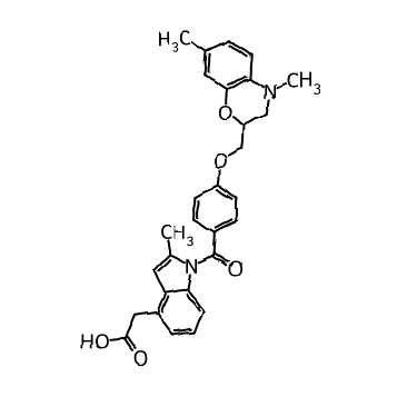 Cc1ccc2c(c1)OC(COc1ccc(C(=O)n3c(C)cc4c(CC(=O)O)cccc43)cc1)CN2C